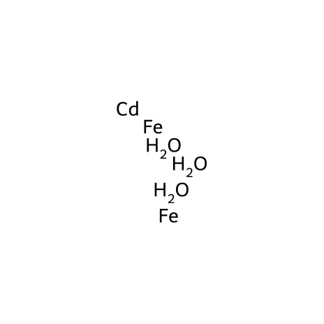 O.O.O.[Cd].[Fe].[Fe]